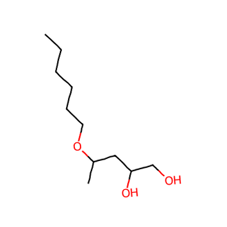 CCCCCCOC(C)CC(O)CO